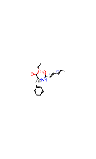 C/C=C/C=C/C(=O)N[C@@H](Cc1ccccc1)C(=O)OCC